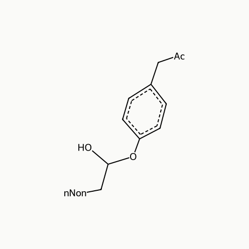 CCCCCCCCCCC(O)Oc1ccc(CC(C)=O)cc1